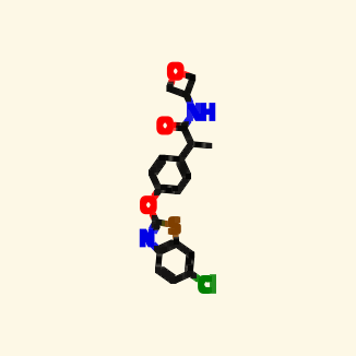 CC(C(=O)NC1COC1)c1ccc(Oc2nc3ccc(Cl)cc3s2)cc1